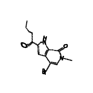 CCCC(=O)c1cc2c(Br)cn(C)c(=O)c2[nH]1